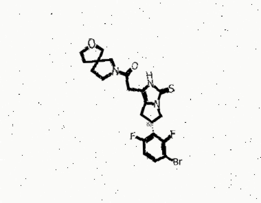 O=C(Cc1[nH]c(=S)n2c1C[C@@H](c1c(F)ccc(Br)c1F)C2)N1CCC2(CCOC2)C1